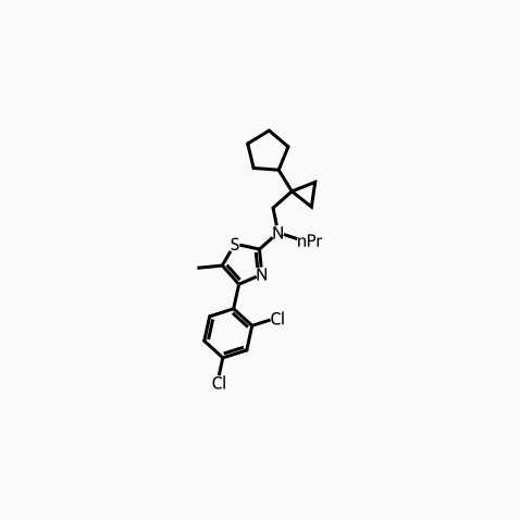 CCCN(CC1(C2CCCC2)CC1)c1nc(-c2ccc(Cl)cc2Cl)c(C)s1